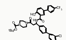 CC(C)(C)OC(=O)N1CCN(C(=O)CC(NC(=O)c2cc(-c3ccc(C(F)(F)F)cc3)ccc2O)c2ccc(-c3ccc(F)c(Cl)c3)cc2)CC1